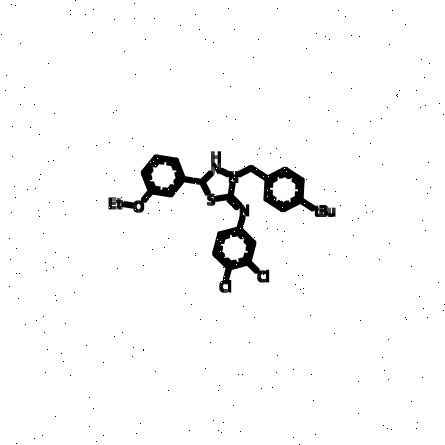 CCOc1cccc(C2NN(Cc3ccc(C(C)(C)C)cc3)C(=Nc3ccc(Cl)c(Cl)c3)S2)c1